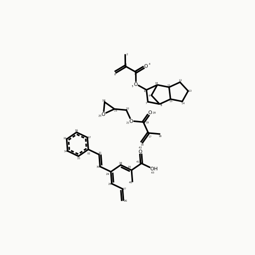 C=C(C)C(=O)OC1CC2CC1C1CCCC21.C=C(C)C(=O)OCC1CO1.C=CC=C(C=Cc1ccccc1)C=C(C)C(=O)O